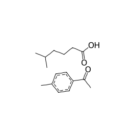 CC(=O)c1ccc(C)cc1.CC(C)CCCC(=O)O